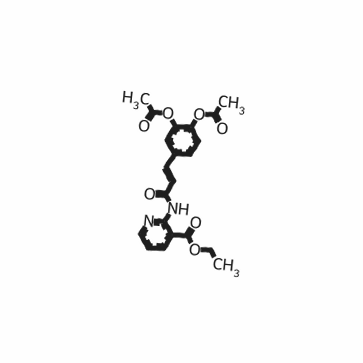 CCOC(=O)c1cccnc1NC(=O)/C=C/c1ccc(OC(C)=O)c(OC(C)=O)c1